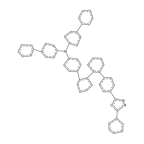 c1ccc(-c2ccc(N(c3ccc(-c4ccccc4)cc3)c3ccc(-c4ccccc4-c4ccccc4-c4ccc(-c5nnc(-c6ccccc6)o5)cc4)cc3)cc2)cc1